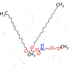 CCCCCCCCCCCCCCCCCCOC(C)C(COC(=O)NCCCOCCOC)OCCCCCCCCCCCCCCCCCC